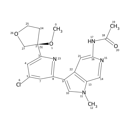 CO[C@]1(c2cc(Cl)cc(-c3cn(C)c4cnc(NC(C)=O)cc34)n2)CCOC1